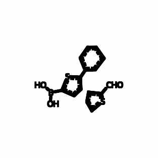 O=Cc1cccs1.OB(O)c1ccc(-c2ccccc2)s1